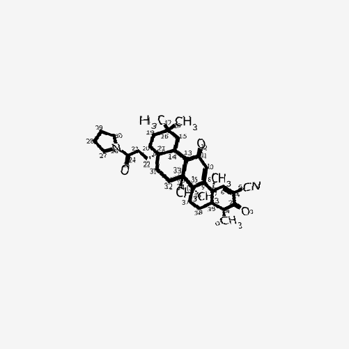 C[C@@H]1C(=O)C(C#N)=C[C@]2(C)C3=CC(=O)C4C5CC(C)(C)CC[C@]5(CCC(=O)N5CCCC5)CC[C@@]4(C)[C@]3(C)CCC12